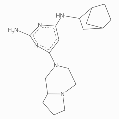 Nc1nc(NC2CC3CCC2C3)cc(N2CCN3CCCC3C2)n1